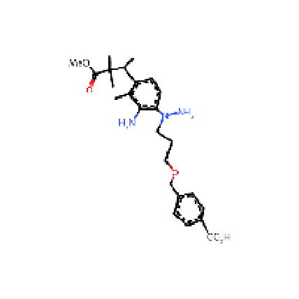 COC(=O)C(C)(C)C(C)c1ccc(N(N)CCCOCc2ccc(C(=O)O)cc2)c(N)c1C